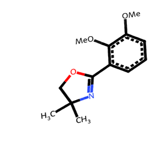 COc1cccc(C2=NC(C)(C)CO2)c1OC